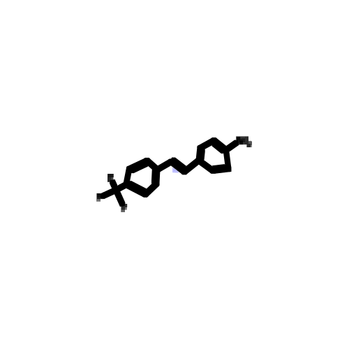 Nc1ccc(/C=C/c2ccc(C(F)(F)F)cc2)cc1